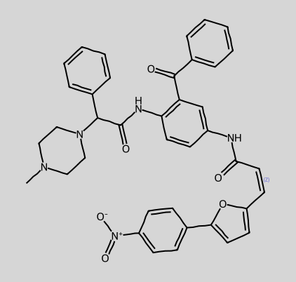 CN1CCN(C(C(=O)Nc2ccc(NC(=O)/C=C\c3ccc(-c4ccc([N+](=O)[O-])cc4)o3)cc2C(=O)c2ccccc2)c2ccccc2)CC1